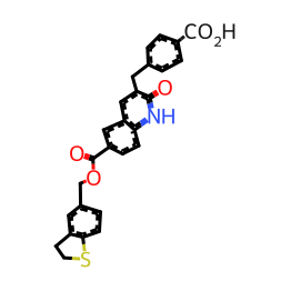 O=C(O)c1ccc(Cc2cc3cc(C(=O)OCc4ccc5c(c4)CCS5)ccc3[nH]c2=O)cc1